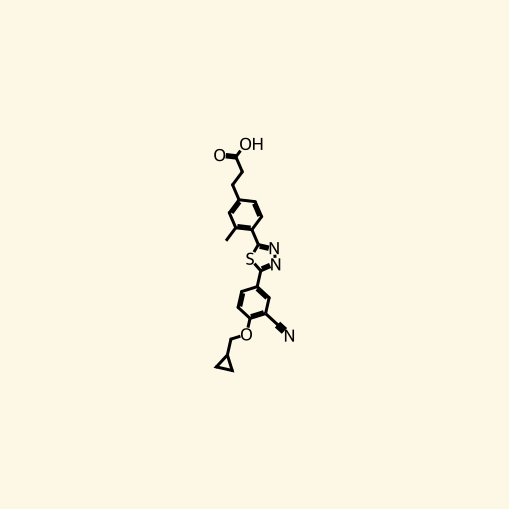 Cc1cc(CCC(=O)O)ccc1-c1nnc(-c2ccc(OCC3CC3)c(C#N)c2)s1